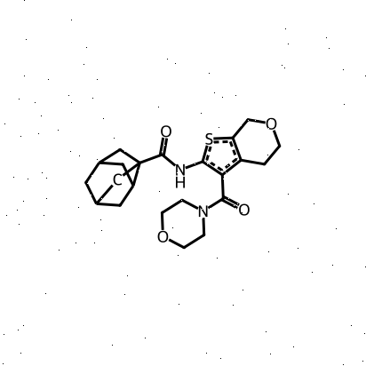 O=C(c1c(NC(=O)C23CC4CC(CC2C4)C3)sc2c1CCOC2)N1CCOCC1